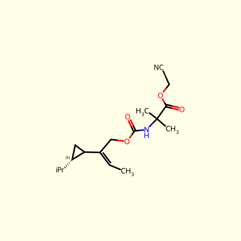 CC=C(COC(=O)NC(C)(C)C(=O)OCC#N)C1C[C@H]1C(C)C